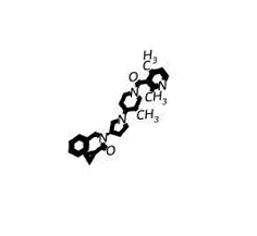 Cc1ccnc(C)c1C(=O)N1CCC(N2CC[C@@H](N(Cc3ccccc3)C(=O)C3CC3)C2)C(C)C1